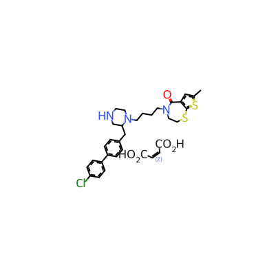 Cc1cc2c(s1)SCCN(CCCCN1CCNCC1Cc1ccc(-c3ccc(Cl)cc3)cc1)C2=O.O=C(O)/C=C\C(=O)O